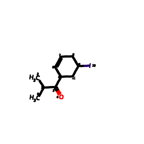 CC(C)C(=O)C1C=CCC(I)C1